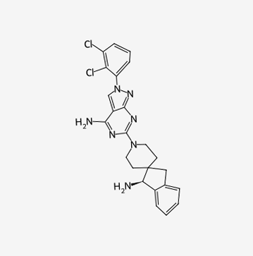 Nc1nc(N2CCC3(CC2)Cc2ccccc2[C@H]3N)nc2nn(-c3cccc(Cl)c3Cl)cc12